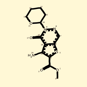 COC(=O)c1sc2cnn(C3CCCCO3)c(=O)c2c1N